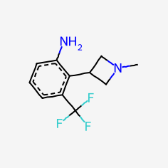 CN1CC(c2c(N)cccc2C(F)(F)F)C1